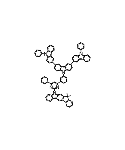 CC1(C)c2ccccc2-c2cc3c4ccccc4n(-c4nc(-c5ccccc5)cc(-c5cccc(-n6c7ccc(-c8ccc9c(c8)c8ccccc8n9-c8ccccc8)cc7c7cc(-c8ccc9c(c8)c8ccccc8n9-c8ccccc8)ccc76)c5)n4)c3cc21